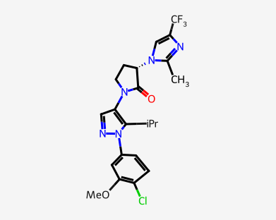 COc1cc(-n2ncc(N3CC[C@H](n4cc(C(F)(F)F)nc4C)C3=O)c2C(C)C)ccc1Cl